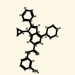 Cc1cccc(NC(=O)c2nc(N3CCOCC3)c3nc(-c4ccncc4)n(C4CC4)c3n2)c1